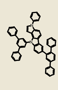 c1ccc(-c2cc(-c3ccccc3)cc(-n3c4ccc(-c5cc(-c6ccccc6)ccc5-c5ccccc5)cc4c4ccc5c(ccn5-c5ccccc5)c43)c2)cc1